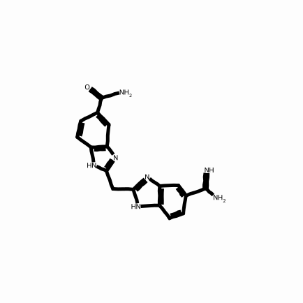 N=C(N)c1ccc2[nH]c(Cc3nc4cc(C(N)=O)ccc4[nH]3)nc2c1